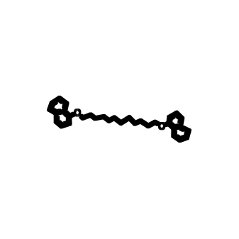 c1ccc2c(OCCCCCCCCCCCCOc3cccc4ccccc34)cccc2c1